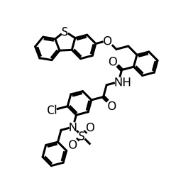 CS(=O)(=O)N(Cc1ccccc1)c1cc(C(=O)CNC(=O)c2ccccc2CCOc2ccc3c(c2)sc2ccccc23)ccc1Cl